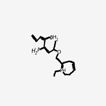 BC(=C/C=C)/C(P)=C\C(C)OCC1=[PH](CC)CCC=CC1